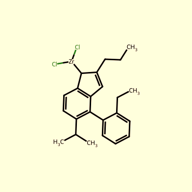 CCCC1=Cc2c(ccc(C(C)C)c2-c2ccccc2CC)[CH]1[Zr]([Cl])[Cl]